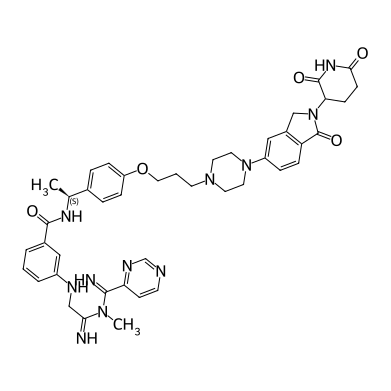 C[C@H](NC(=O)c1cccc(NCC(=N)N(C)C(=N)c2ccncn2)c1)c1ccc(OCCCN2CCN(c3ccc4c(c3)CN(C3CCC(=O)NC3=O)C4=O)CC2)cc1